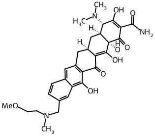 COCCN(C)Cc1ccc2cc3c(c(O)c2c1)C(=O)C1=C(O)[C@]2(O)C(=O)C(C(N)=O)=C(O)[C@@H](N(C)C)[C@@H]2C[C@@H]1C3